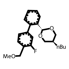 CCCC[C@H]1CO[C@H](c2ccccc2-c2ccc(COC)c(F)c2)OC1